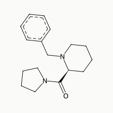 O=C([C@@H]1CCCCN1Cc1ccccc1)N1CCCC1